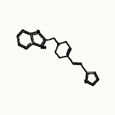 C1=C(/C=C/c2cccs2)CCN(Cc2nc3ccccc3[nH]2)C1